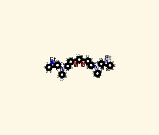 CCn1c2ccccc2c2cc(N(c3ccccc3)c3ccc4c(ccc5c6ccc7c8ccc9cc(N(c%10ccccc%10)c%10ccc%11c(c%10)c%10ccccc%10n%11CC)ccc9c8oc7c6oc45)c3)ccc21